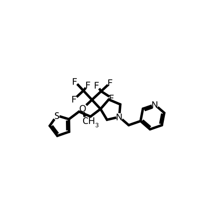 COC(C(F)(F)F)(C(F)(F)F)C1(CCc2cccs2)CCN(Cc2cccnc2)C1